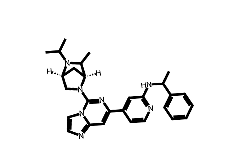 CC(Nc1cc(-c2cc3nccn3c(N3C[C@@H]4C[C@H]3C(C)N4C(C)C)n2)ccn1)c1ccccc1